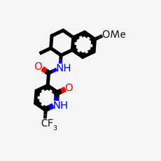 COc1ccc2c(c1)CCC(C)C2NC(=O)c1ccc(C(F)(F)F)[nH]c1=O